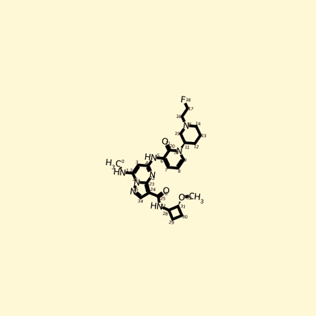 CNc1cc(Nc2cccn([C@@H]3CCCN(CCF)C3)c2=O)nc2c(C(=O)NC3CC[C@H]3OC)cnn12